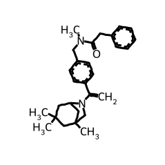 C=C(c1ccc(CN(C)C(=O)Cc2ccccc2)cc1)N1CC2(C)CC1CC(C)(C)C2